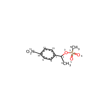 CC(OS(C)(=O)=O)c1ccc([N+](=O)[O-])cc1